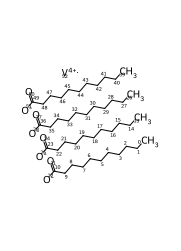 CCCCCCCCCCC(=O)[O-].CCCCCCCCCCC(=O)[O-].CCCCCCCCCCC(=O)[O-].CCCCCCCCCCC(=O)[O-].[V+4]